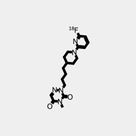 Cn1c(=O)cnn(CCCCC2CCN(c3cccc([18F])n3)CC2)c1=O